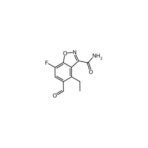 CCc1c(C=O)cc(F)c2onc(C(N)=O)c12